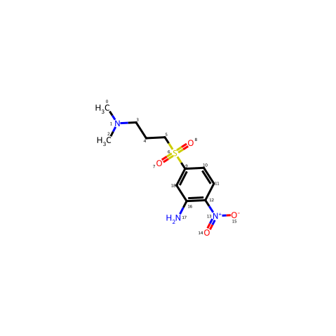 CN(C)CCCS(=O)(=O)c1ccc([N+](=O)[O-])c(N)c1